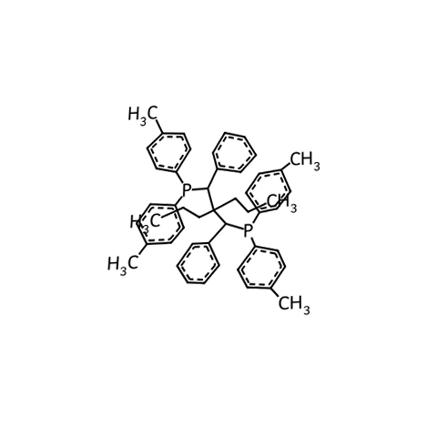 CCCC(CCC)(C(c1ccccc1)P(c1ccc(C)cc1)c1ccc(C)cc1)C(c1ccccc1)P(c1ccc(C)cc1)c1ccc(C)cc1